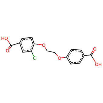 O=C(O)c1ccc(OCCOc2ccc(C(=O)O)cc2Cl)cc1